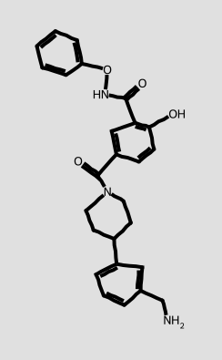 NCc1cccc(C2CCN(C(=O)c3ccc(O)c(C(=O)NOc4ccccc4)c3)CC2)c1